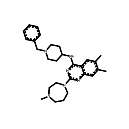 Cc1cc2nc(N3CCCN(C)CC3)nc(NC3CCN(Cc4ccccc4)CC3)c2cc1C